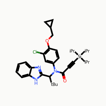 CC(C)[Si](C#CC(=O)N(c1ccc(OCC2CC2)c(Cl)c1)C(c1nc2ccccc2[nH]1)C(C)(C)C)(C(C)C)C(C)C